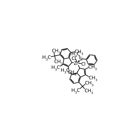 CC1=C(C)[CH]([Zr]([Cl])([Cl])([CH]2C(C)=C(C)c3c(C(C)(C)C)ccc(C)c32)=[Si](C)c2ccccc2)c2c(C)ccc(C(C)(C)C)c21